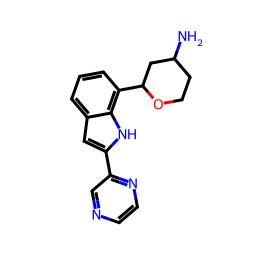 NC1CCOC(c2cccc3cc(-c4cnccn4)[nH]c23)C1